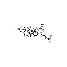 C[C@]12CCC(=O)C=C1C=C[C@@H]1[C@@H]2CC[C@@]2(C)[C@H]1CC[C@]2(CCCO[N+](=O)[O-])O[N+](=O)[O-]